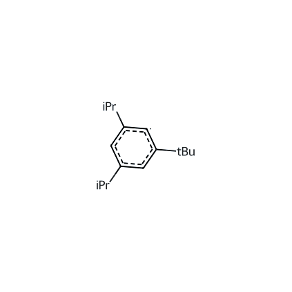 CC(C)c1[c]c(C(C)(C)C)cc(C(C)C)c1